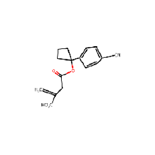 C=C(CC(=O)OC1(c2ccc(C#N)cc2)CCC1)C(=O)O